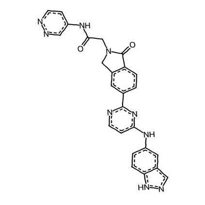 O=C(CN1Cc2cc(-c3nccc(Nc4ccc5[nH]ncc5c4)n3)ccc2C1=O)Nc1ccnnc1